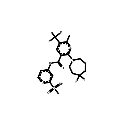 Cc1nc(N2CCCC(F)(F)CC2)c(C(=O)Nc2ccnc(S(C)(=N)=O)c2)cc1C(F)(F)F